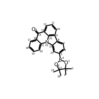 CC1(C)OB(c2ccc3c4cccc5c(=O)c6ccccc6n(c3c2)c54)OC1(C)C